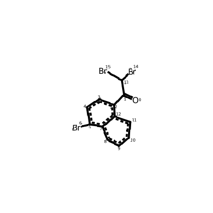 O=C(c1ccc(Br)c2ccccc12)C(Br)Br